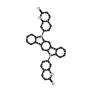 O=c1ccc2ccc(-n3c4ccccc4c4cc5c(cc43)c3ccccc3n5-c3ccc4ccc(=O)oc4c3)cc2o1